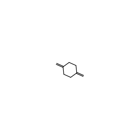 C=C1CCC(=C)CC1